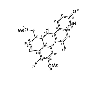 COC[C@@H]([C@@H](Nc1cc(F)cc2[nH]c(=O)ccc12)c1ccc(OC)c(F)c1Cl)C(F)(F)F